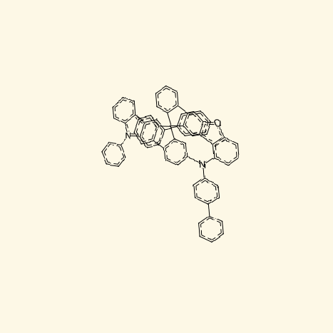 c1ccc(-c2ccc(N(c3ccc4c(c3)C3(c5ccccc5-c5ccccc53)c3ccccc3-4)c3cccc4oc5ccc(-c6ccc7c(c6)c6ccccc6n7-c6ccccc6)cc5c34)cc2)cc1